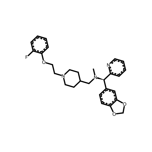 CN(CC1CCN(CCOc2ccccc2F)CC1)[C@H](c1ccc2c(c1)OCO2)c1ccccn1